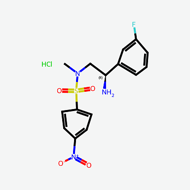 CN(C[C@H](N)c1cccc(F)c1)S(=O)(=O)c1ccc([N+](=O)[O-])cc1.Cl